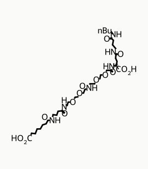 CCCCNC(=O)CCCNC(=O)CC[C@H](NC(=O)COCCOCCNC(=O)COCCOCCNC(=O)CCCNC(=O)CCCCCCC(=O)O)C(=O)O